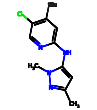 Cc1cc(Nc2cc(C(C)(C)C)c(Cl)cn2)n(C)n1